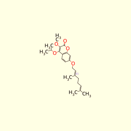 COc1c(OC(C)C)c2ccc(OC/C=C(\C)CCC=C(C)C)cc2oc1=O